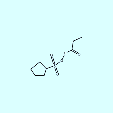 CCC(=O)OOS(=O)(=O)C1CCCC1